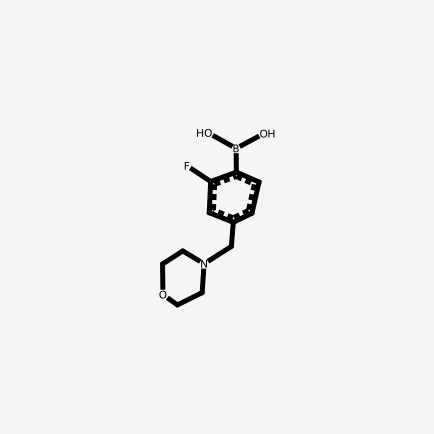 OB(O)c1ccc(CN2CCOCC2)cc1F